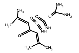 CC(C)=CC(=O)C=C(C)C.N=C=O.N=C=O.NC(N)=O